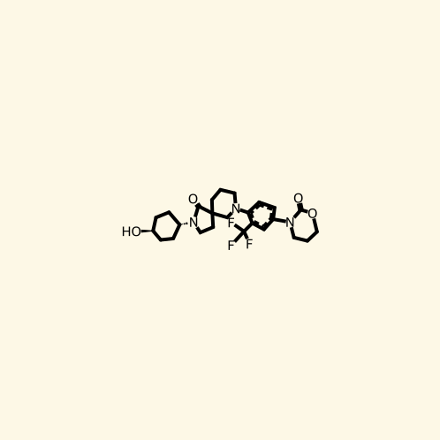 O=C1OCCCN1c1ccc(N2CCCC3(CCN([C@H]4CC[C@H](O)CC4)C3=O)C2)c(C(F)(F)F)c1